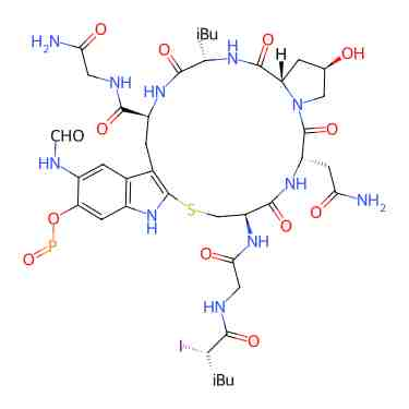 CCC(C)[C@@H]1NC(=O)[C@@H]2C[C@@H](O)CN2C(=O)[C@H](CC(N)=O)NC(=O)[C@@H](NC(=O)CNC(=O)[C@@H](I)[C@@H](C)CC)CSc2[nH]c3cc(OP=O)c(NC=O)cc3c2C[C@@H](C(=O)NCC(N)=O)NC1=O